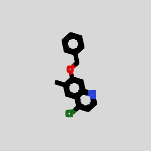 Cc1cc2c(Cl)ccnc2cc1OCc1ccccc1